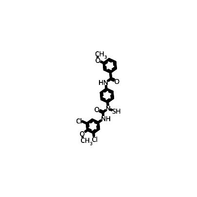 COc1cccc(C(=O)Nc2ccc(N(S)C(=O)Nc3cc(Cl)c(OC)c(Cl)c3)cc2)c1